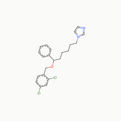 Clc1ccc(COC(CCCCCn2ccnc2)c2ccccc2)c(Cl)c1